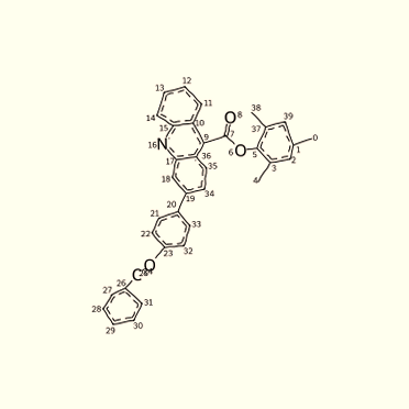 Cc1cc(C)c(OC(=O)c2c3ccccc3nc3cc(-c4ccc(OCc5ccccc5)cc4)ccc23)c(C)c1